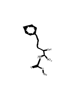 CC(C)(C)OC(=O)NC(C(O)CCc1ccccc1)[N+](=O)[O-]